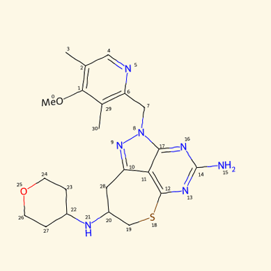 COc1c(C)cnc(Cn2nc3c4c(nc(N)nc42)SCC(NC2CCOCC2)C3)c1C